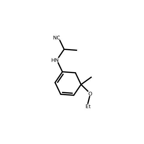 CCOC1(C)C=CC=C(NC(C)C#N)C1